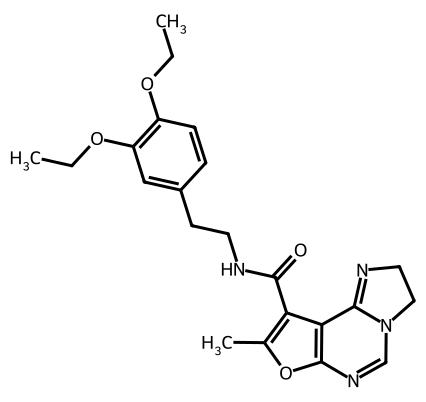 CCOc1ccc(CCNC(=O)c2c(C)oc3c2C2=NCCN2C=N3)cc1OCC